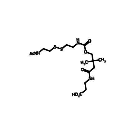 CC(=O)NCCSSCCNC(=O)OCC(C)(C)CC(=O)NCCC(=O)O